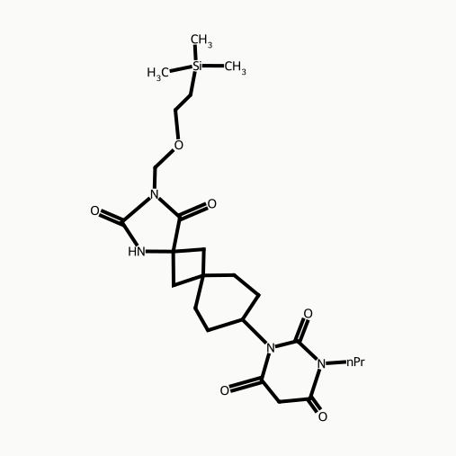 CCCN1C(=O)CC(=O)N(C2CCC3(CC2)CC2(C3)NC(=O)N(COCC[Si](C)(C)C)C2=O)C1=O